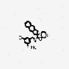 CN(Cc1cc(F)cc(Cl)c1)C(=O)C1(N2CCNCC2)Cc2cc3ccccc3cc2C1.Cl